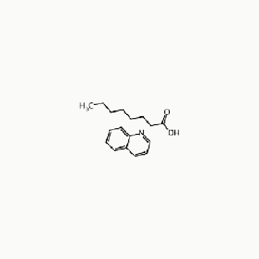 CCCCCCCC(=O)O.c1ccc2ncccc2c1